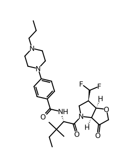 CCCN1CCN(c2ccc(C(=O)N[C@H](C(=O)N3C[C@@H](C(F)F)[C@H]4OCC(=O)[C@H]43)C(C)(C)CC)cc2)CC1